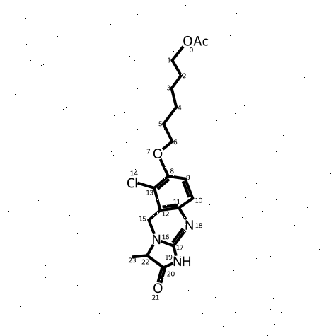 CC(=O)OCCCCCCOc1ccc2c(c1Cl)CN1C(=N2)NC(=O)C1C